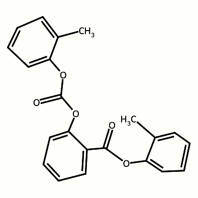 Cc1ccccc1OC(=O)Oc1ccccc1C(=O)Oc1ccccc1C